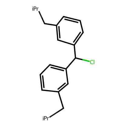 CC(C)Cc1cccc(C(Cl)c2cccc(CC(C)C)c2)c1